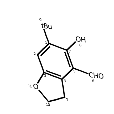 CC(C)(C)c1cc2c(c(C=O)c1O)CCO2